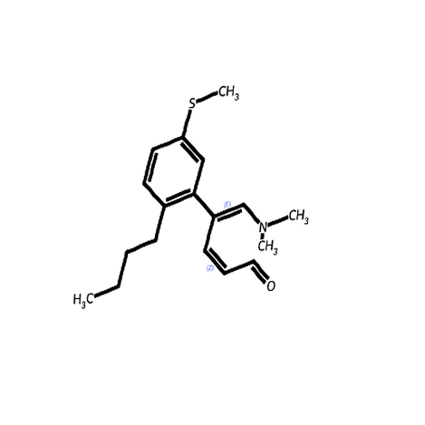 CCCCc1ccc(SC)cc1C(/C=C\C=O)=C/N(C)C